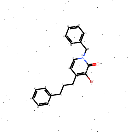 O=c1c(Br)c(CCCc2ccccc2)ccn1Cc1ccccc1